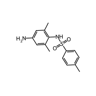 Cc1ccc(S(=O)(=O)Nc2c(C)cc(N)cc2C)cc1